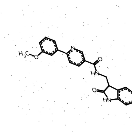 COc1cccc(-c2ccc(C(=O)NCC3C(=O)Nc4ccccc43)cn2)c1